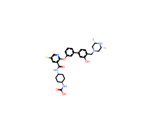 C[C@@H]1CN(Cc2ccc(-c3cccc(Oc4ncc(F)cc4C(=O)N[C@H]4CC[C@H](NC(=O)O)CC4)c3)cc2O)C[C@H](C)N1